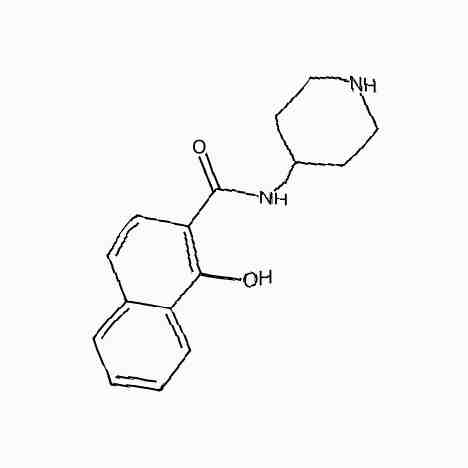 O=C(NC1CCNCC1)c1ccc2ccccc2c1O